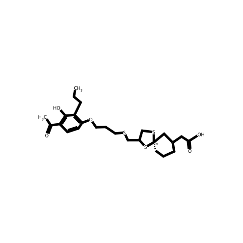 CCCc1c(OCCCSCC2CS[C@]3(CCCC(CC(=O)O)C3)S2)ccc(C(C)=O)c1O